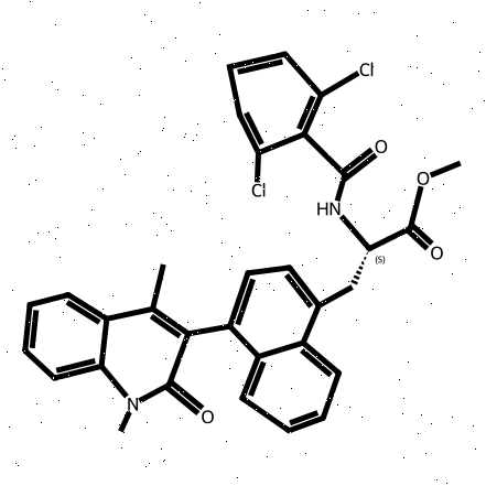 COC(=O)[C@H](Cc1ccc(-c2c(C)c3ccccc3n(C)c2=O)c2ccccc12)NC(=O)c1c(Cl)cccc1Cl